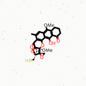 COc1c2c(c(O)c3c4c(c(C)cc13)C1O[C@]3(CS)O[C@H]1[C@@](OC)(O4)[C@@]31CO1)C(=O)CCC2